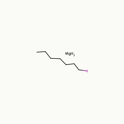 CCCCCCCI.[MgH2]